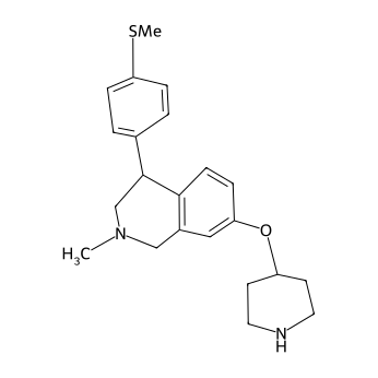 CSc1ccc(C2CN(C)Cc3cc(OC4CCNCC4)ccc32)cc1